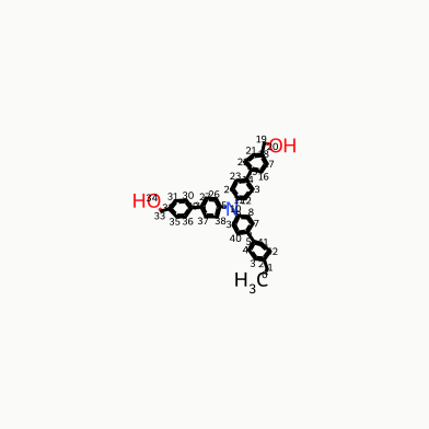 CCc1ccc(-c2ccc(N(c3ccc(-c4ccc(CO)cc4)cc3)c3ccc(-c4ccc(CO)cc4)cc3)cc2)cc1